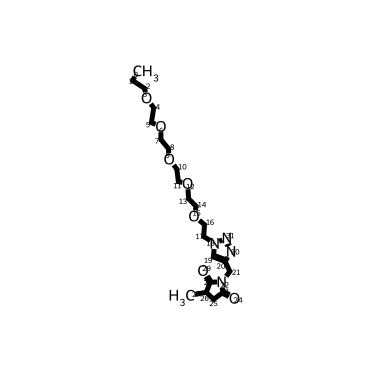 CCCOCCOCCOCCOCCOCCn1cc(CN2C(=O)CC(C)C2=O)nn1